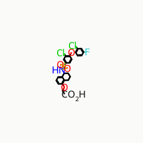 O=C(O)COc1cccc2c1CCC[C@H]2NS(=O)(=O)c1ccc(Oc2ccc(F)cc2Cl)c(Cl)c1